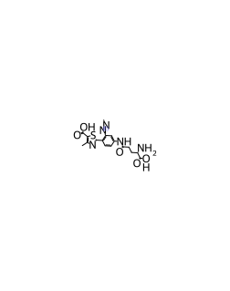 C/N=N/c1cc(NC(=O)CCC(N)C(=O)O)ccc1-c1nc(C)c(C(=O)O)s1